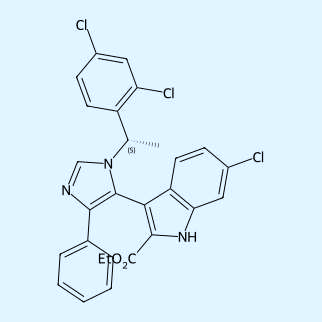 CCOC(=O)c1[nH]c2cc(Cl)ccc2c1-c1c(-c2ccccc2)ncn1[C@@H](C)c1ccc(Cl)cc1Cl